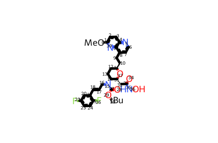 COc1ccc2nccc(CC[C@@H]3CC[C@@H](N(CC=Cc4cc(F)ccc4F)C(=O)OC(C)(C)C)[C@@H](CC(=O)NO)O3)c2n1